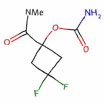 CNC(=O)C1(OC(N)=O)CC(F)(F)C1